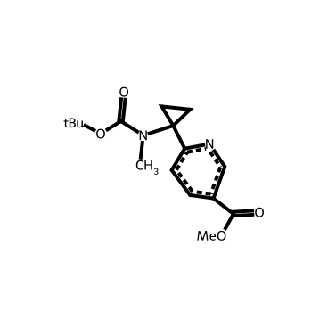 COC(=O)c1ccc(C2(N(C)C(=O)OC(C)(C)C)CC2)nc1